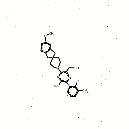 COc1ccc2c(c1)CC1(CCN(c3nc(C)c(-c4cccc(C)c4Cl)nc3CO)CC1)C2